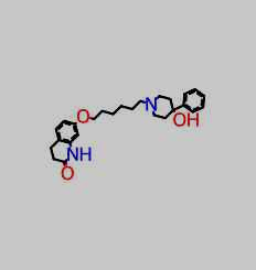 O=C1CCc2ccc(OCCCCCCN3CCC(O)(c4ccccc4)CC3)cc2N1